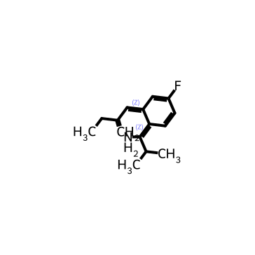 C=C(/C=c1/cc(F)cc/c1=C(/N)C(C)C)CC